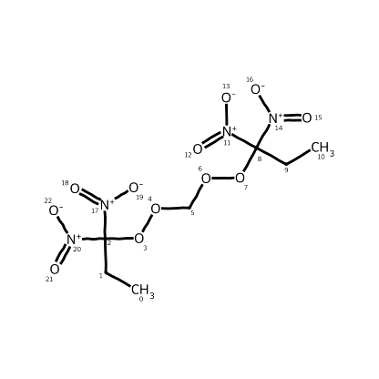 CCC(OOCOOC(CC)([N+](=O)[O-])[N+](=O)[O-])([N+](=O)[O-])[N+](=O)[O-]